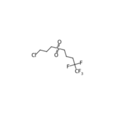 O=S(=O)(CCCCl)CCCC(F)(F)C(F)(F)F